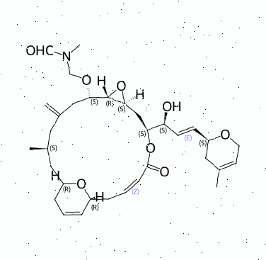 C=C1C[C@H](C)C[C@@H]2CC=C[C@@H](C/C=C\C(=O)O[C@H]([C@@H](O)/C=C/[C@@H]3CC(C)=CCO3)C[C@@H]3O[C@H]3[C@@H](OCN(C)C=O)C1)O2